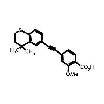 COc1cc(C#Cc2ccc3c(c2)C(C)(C)CCS3)ccc1C(=O)O